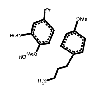 CCCc1ccc(OC)c(OC)c1.COc1ccc(CCCN)cc1.Cl